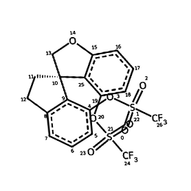 O=S(=O)(Oc1cccc2c1[C@@]1(CC2)COc2cccc(OS(=O)(=O)C(F)(F)F)c21)C(F)(F)F